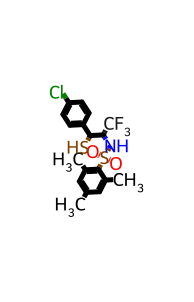 Cc1cc(C)c(S(=O)(=O)NC(C(S)c2ccc(Cl)cc2)C(F)(F)F)c(C)c1